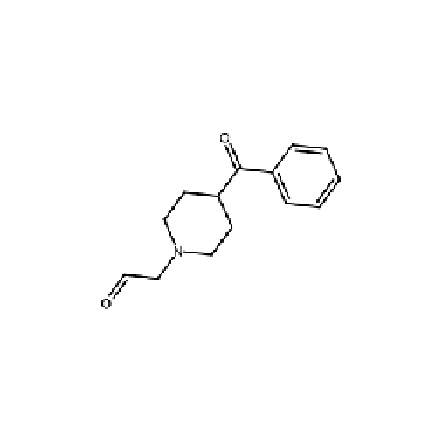 O=CCN1CCC(C(=O)c2ccccc2)CC1